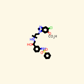 CC(C)(CCn1cnc2cc(Cl)c(OC(=O)O)cc21)NCC(O)c1cccc(NS(=O)(=O)c2ccccc2)c1